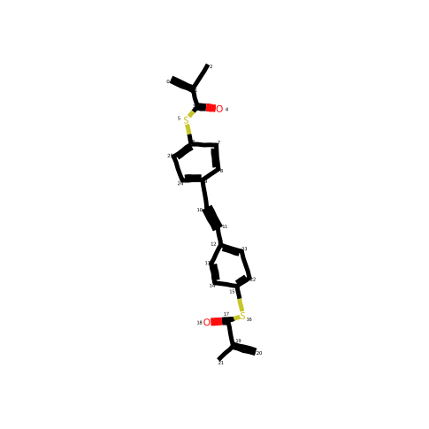 C=C(C)C(=O)Sc1ccc(C#Cc2ccc(SC(=O)C(=C)C)cc2)cc1